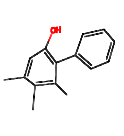 Cc1cc(O)c(-c2ccccc2)c(C)c1C